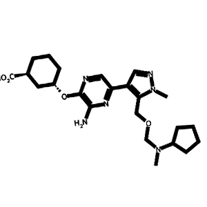 CN(COCc1c(-c2cnc(O[C@H]3CCC[C@H](C(=O)O)C3)c(N)n2)cnn1C)C1CCCC1